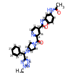 CC(=O)Nc1ccc2oc(-c3ccnc(C(=O)N4CC5C(C4)N5C(c4ccccc4)c4nnn(C)n4)c3)nc2c1